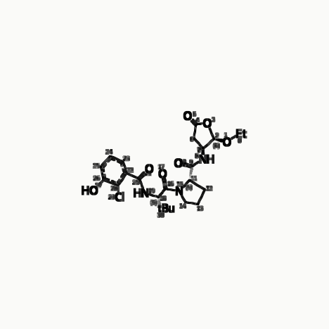 CCO[C@@H]1OC(=O)C[C@@H]1NC(=O)[C@@H]1CCCN1C(=O)[C@@H](NC(=O)c1cccc(O)c1Cl)C(C)(C)C